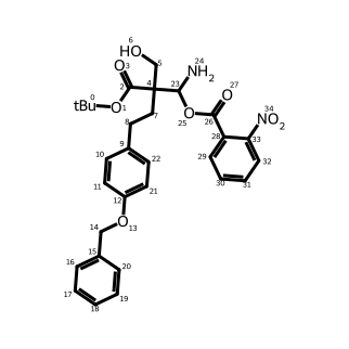 CC(C)(C)OC(=O)C(CO)(CCc1ccc(OCc2ccccc2)cc1)C(N)OC(=O)c1ccccc1[N+](=O)[O-]